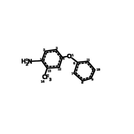 Nc1ccc(Oc2ccccc2)cc1C(F)(F)F